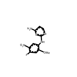 COc1cc(F)c([N+](=O)[O-])cc1Nc1nccc(N)n1